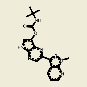 Cn1nc(-c2cnc3[nH]cc(OC(=O)NC(C)(C)C)c3n2)c2cccnc21